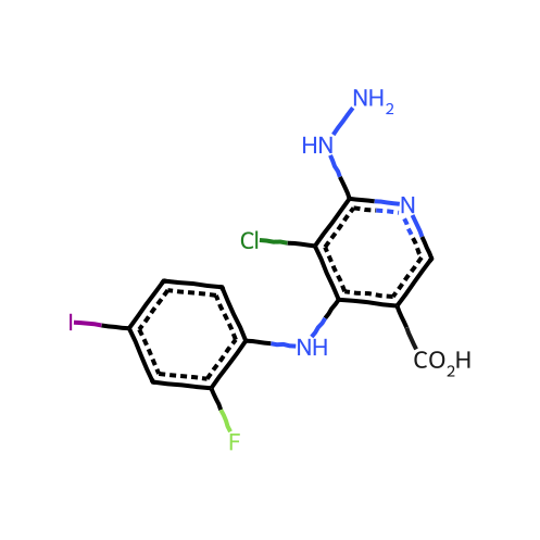 NNc1ncc(C(=O)O)c(Nc2ccc(I)cc2F)c1Cl